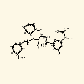 CCCCN(C(=O)CC)c1cc(C)cc(C(=O)N[C@@H](Cc2ccccc2)[C@@H](O)CNCc2cccc(OC)c2)c1